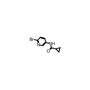 O=C(Nc1ccc(Br)nc1)C1CC1